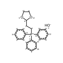 [OH-].c1ccc([P+](CCC2OCCO2)(c2ccccc2)c2ccccc2)cc1